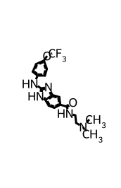 CN(C)CCNC(=O)c1ccc2[nH]c(Nc3ccc(OC(F)(F)F)cc3)nc2c1